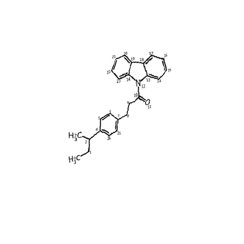 CCC(C)c1ccc(CCC(=O)n2c3ccccc3c3ccccc32)cc1